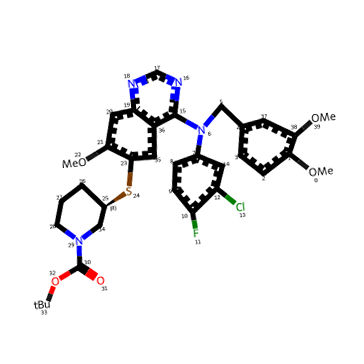 COc1ccc(CN(c2ccc(F)c(Cl)c2)c2ncnc3cc(OC)c(S[C@@H]4CCCN(C(=O)OC(C)(C)C)C4)cc23)cc1OC